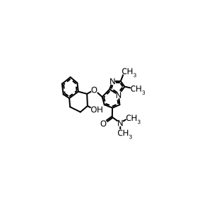 Cc1nc2c(OC3c4ccccc4CCC3O)cc(C(=O)N(C)C)cn2c1C